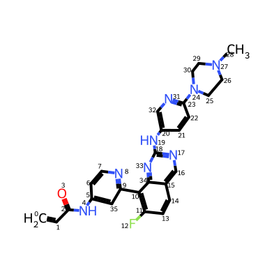 C=CC(=O)Nc1ccnc(-c2c(F)ccc3cnc(Nc4ccc(N5CCN(C)CC5)nc4)nc23)c1